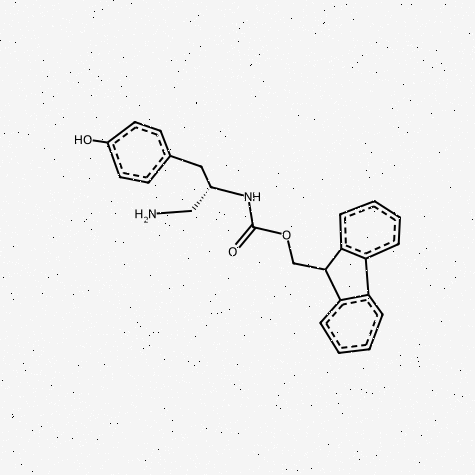 NC[C@H](Cc1ccc(O)cc1)NC(=O)OCC1c2ccccc2-c2ccccc21